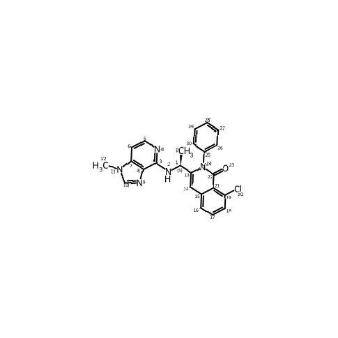 C[C@H](Nc1nccc2c1ncn2C)c1cc2cccc(Cl)c2c(=O)n1-c1ccccc1